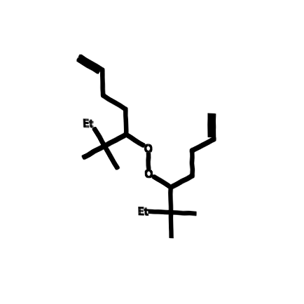 C=CCCC(OOC(CCC=C)C(C)(C)CC)C(C)(C)CC